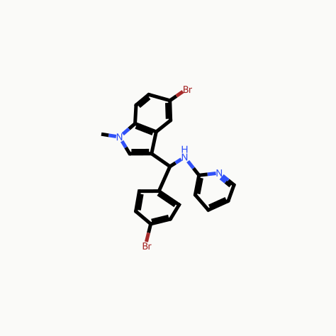 Cn1cc(C(Nc2ccccn2)c2ccc(Br)cc2)c2cc(Br)ccc21